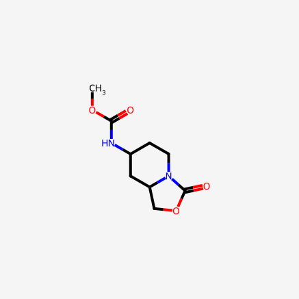 COC(=O)NC1CCN2C(=O)OCC2C1